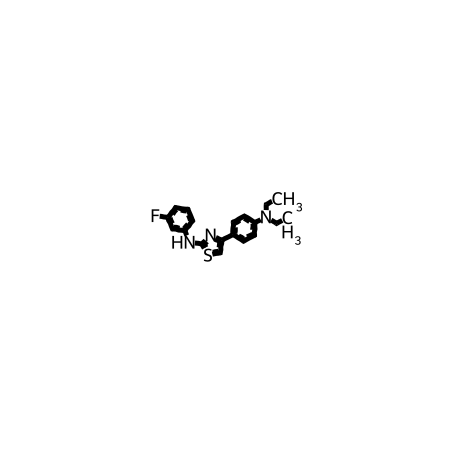 CCN(CC)c1ccc(-c2csc(Nc3cccc(F)c3)n2)cc1